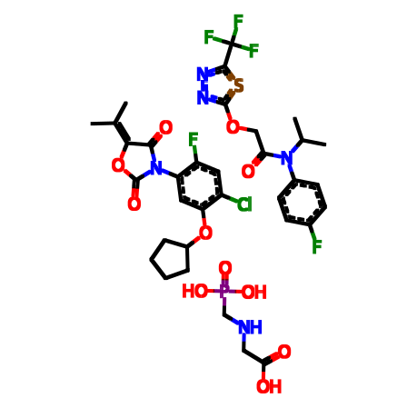 CC(C)=C1OC(=O)N(c2cc(OC3CCCC3)c(Cl)cc2F)C1=O.CC(C)N(C(=O)COc1nnc(C(F)(F)F)s1)c1ccc(F)cc1.O=C(O)CNCP(=O)(O)O